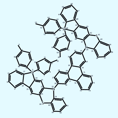 Cc1ccc([Si]2(c3ccc(C)cc3)c3ccccc3-c3cc4c(cc32)N(c2ccc3c5ccc(N6c7ccccc7Sc7cc8c(cc76)[Si](c6ccc(C)cc6)(c6ccc(C)cc6)c6ccccc6-8)cc5c5ccccc5c3c2)c2ccccc2S4)cc1